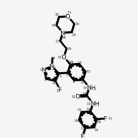 Cn1ncc(F)c1-c1cc(NC(=O)Nc2ccc(F)cc2F)ccc1OCCN1CCOCC1